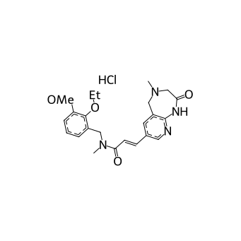 CCOc1c(CN(C)C(=O)C=Cc2cnc3c(c2)CN(C)CC(=O)N3)cccc1OC.Cl